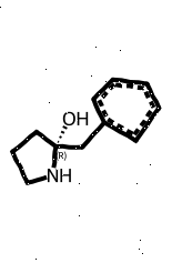 O[C@@]1(Cc2ccccc2)CCCN1